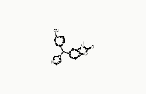 N#Cc1ccc(C(c2ccc3oc(=O)[nH]c3c2)n2ccnc2)cc1